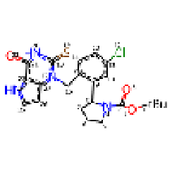 CC(C)(C)OC(=O)N1CCCC1c1cc(Cl)ccc1Cn1c(=S)[nH]c(=O)c2[nH]ccc21